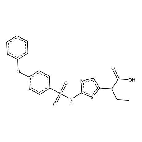 CCC(C(=O)O)c1cnc(NS(=O)(=O)c2ccc(Oc3ccccc3)cc2)s1